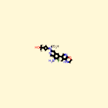 Cc1c(-c2cc3cc(N(C(=O)O)C4CC(C(C)(C)O)C4)ncc3c(N)c2F)cnc2c1NCCO2